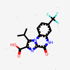 CC(C)c1c(C(=O)O)nc2c(=O)[nH]c3cc(C(F)(F)F)ccc3n12